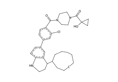 O=C(c1ccc(-c2ccc3c(c2)C(C2CCCCCCCC2)CCN3)cc1Cl)N1CCN(C(=O)C2(O)CC2)CC1